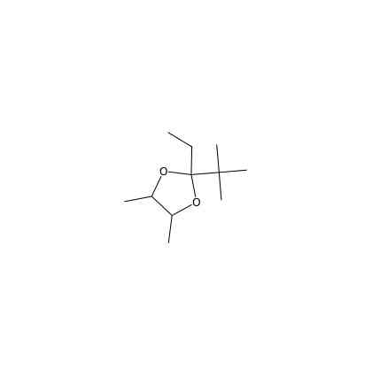 CCC1(C(C)(C)C)OC(C)C(C)O1